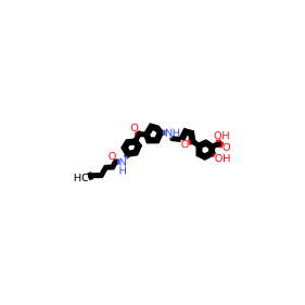 C#CCCCC(=O)Nc1ccc(C(=O)c2ccc(NCc3ccc(-c4ccc(O)c(C(=O)O)c4)o3)cc2)cc1